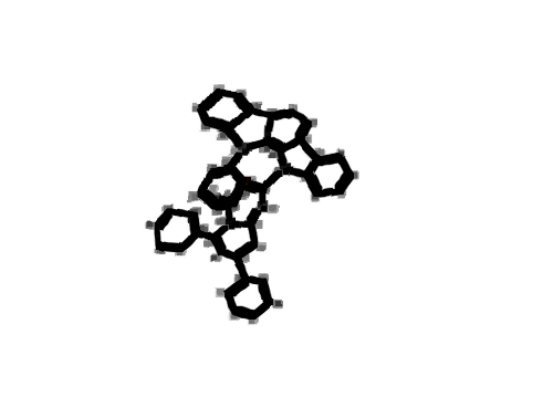 O=c1nc(-n2c3ccccc3c3ccc4c5ccccc5n(-c5ccccc5)c4c32)nc2cc(-c3ccccc3)cc(-c3ccccc3)n12